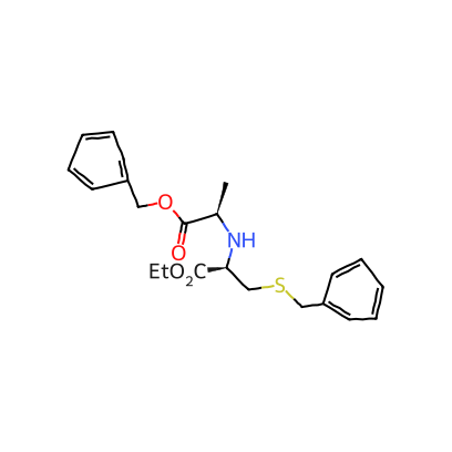 CCOC(=O)[C@H](CSCc1ccccc1)N[C@H](C)C(=O)OCc1ccccc1